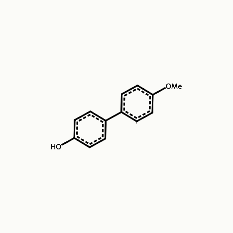 COc1c[c]c(-c2ccc(O)cc2)cc1